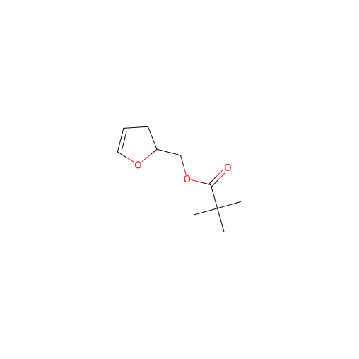 CC(C)(C)C(=O)OCC1CC=CO1